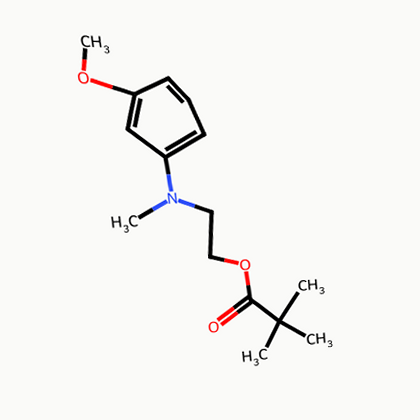 COc1cccc(N(C)CCOC(=O)C(C)(C)C)c1